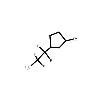 [CH2]CC1C[CH]C(C(F)(F)C(F)(F)C(F)(F)F)C1